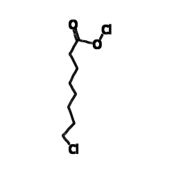 O=C(CCCCCCCCl)OCl